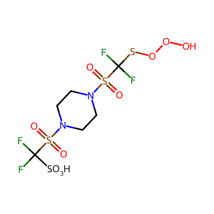 O=S(=O)(O)C(F)(F)S(=O)(=O)N1CCN(S(=O)(=O)C(F)(F)SOOO)CC1